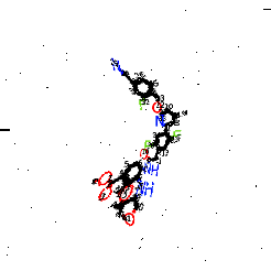 COC(=O)c1ccc(NC(=O)Cc2cc(F)c(-c3cccc(OCc4ccc(C#N)cc4F)n3)cc2F)c(NC2COCC2(C)OC)c1